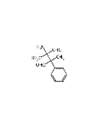 CC(C=O)(c1ccccc1)C(N)(C=O)C(=O)O